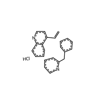 C=Cc1ccnc2ccccc12.Cl.c1ccc(Cc2ccccn2)cc1